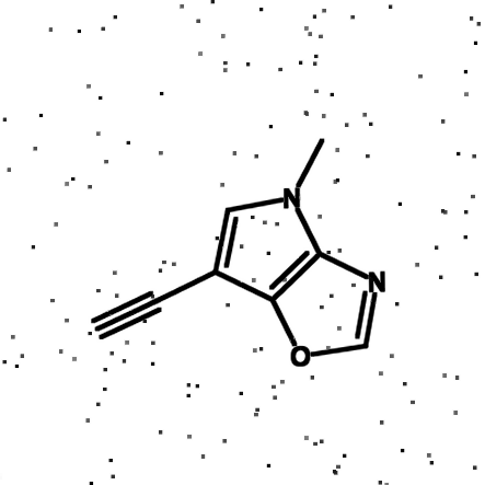 C#Cc1cn(C)c2ncoc12